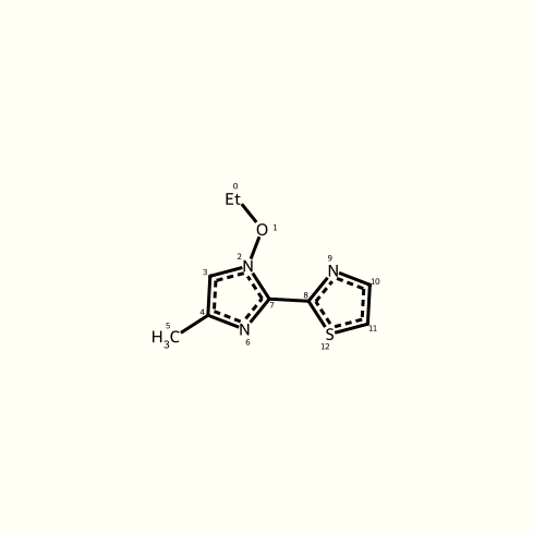 CCOn1cc(C)nc1-c1nccs1